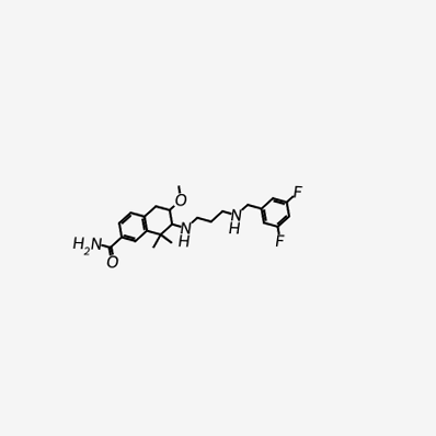 COC1Cc2ccc(C(N)=O)cc2C(C)(C)C1NCCCNCc1cc(F)cc(F)c1